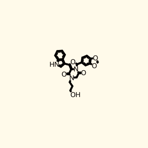 O=C1C2=C(c3c[nH]c4ccccc34)OC(c3ccc4c(c3)OCO4)N2C(=O)CN1CCCO